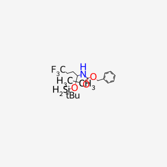 CC(C)(C)[SiH2]OC(C)(C)C(CCC(F)(F)F)NC(=O)OCc1ccccc1